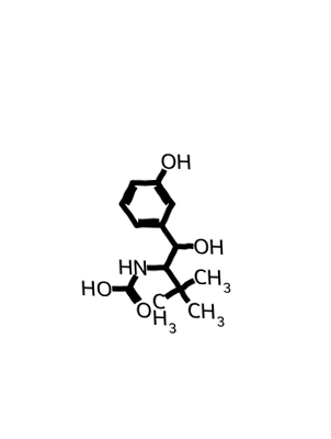 CC(C)(C)C(NC(=O)O)C(O)c1cccc(O)c1